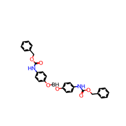 O=C(Nc1ccc(OBOc2ccc(NC(=O)OCc3ccccc3)cc2)cc1)OCc1ccccc1